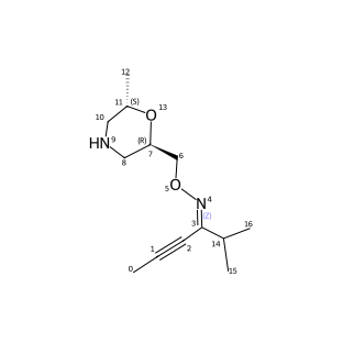 CC#C/C(=N\OC[C@H]1CNC[C@H](C)O1)C(C)C